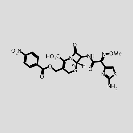 CON=C(C(=O)NC1C(=O)N2C(C(=O)O)=C(COC(=O)c3ccc([N+](=O)[O-])cc3)CS[C@@H]12)c1csc(N)n1